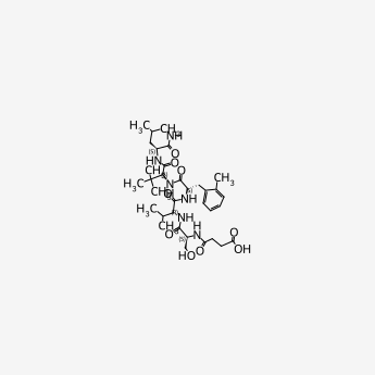 Cc1ccccc1C[C@H](NC(=O)[C@H](NC(=O)[C@H](CO)NC(=O)CCC(=O)O)C(C)C)C(=O)N[C@H](C(=O)N[C@@H](CC(C)C)C([NH])=O)C(C)(C)C